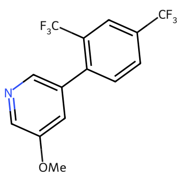 COc1cncc(-c2ccc(C(F)(F)F)cc2C(F)(F)F)c1